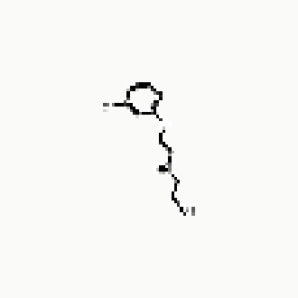 OCCNCCOc1cc(Cl)ccn1